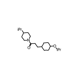 CC(C)OC1CCC(CCC(=O)N2CCC(C(C)C)CC2)CC1